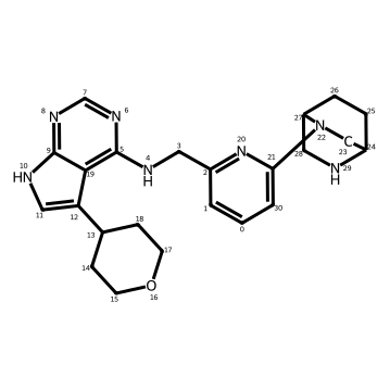 c1cc(CNc2ncnc3[nH]cc(C4CCOCC4)c23)nc(N2CC3CCC2CN3)c1